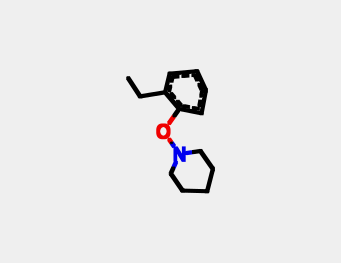 CCc1ccccc1ON1CCCCC1